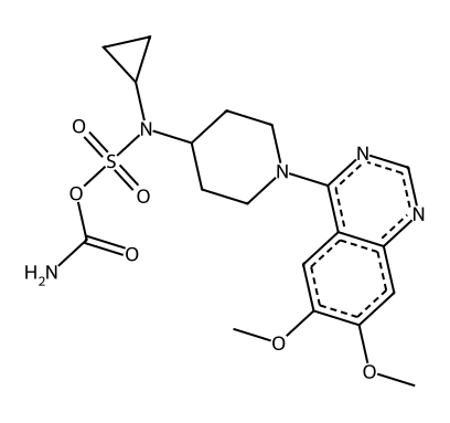 COc1cc2ncnc(N3CCC(N(C4CC4)S(=O)(=O)OC(N)=O)CC3)c2cc1OC